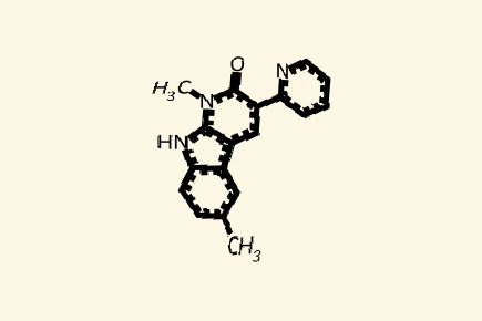 Cc1ccc2[nH]c3c(cc(-c4ccccn4)c(=O)n3C)c2c1